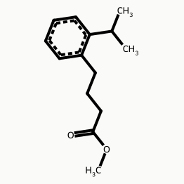 COC(=O)CCCc1ccccc1C(C)C